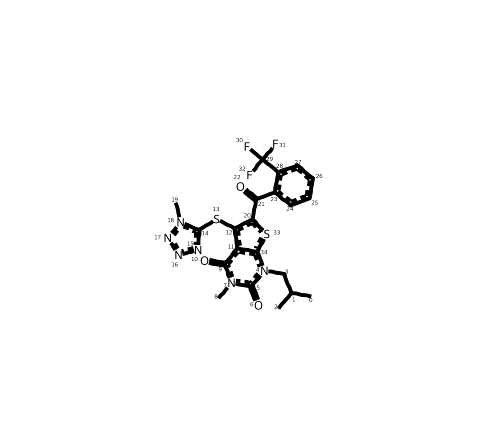 CC(C)Cn1c(=O)n(C)c(=O)c2c(Sc3nnnn3C)c(C(=O)c3ccccc3C(F)(F)F)sc21